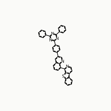 c1ccc(-c2nc(-c3ccccc3)nc(-c3ccc(-c4cnc5c(-c6nccc7c6sc6ccccc67)cccc5c4)cc3)n2)cc1